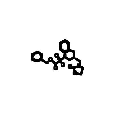 O=C1OCCN1C[C@@H]1Cc2ccccc2N(S(=O)(=O)C(=O)OCc2ccccc2)C1